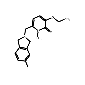 Cn1c(CN2Cc3ccc(F)cc3C2)ccc(OCN)c1=O